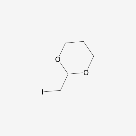 ICC1OCCCO1